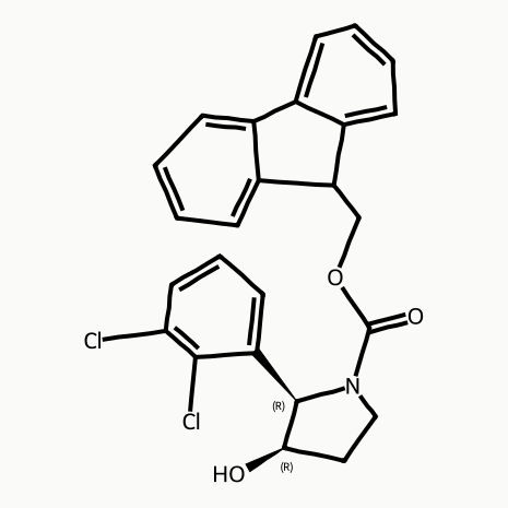 O=C(OCC1c2ccccc2-c2ccccc21)N1CC[C@@H](O)[C@H]1c1cccc(Cl)c1Cl